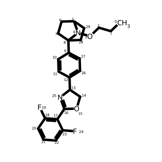 CCCON1C2CCC1(c1ccc(C3COC(c4c(F)cccc4F)=N3)cc1)CC2